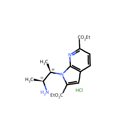 CCOC(=O)c1ccc2cc(C(=O)OCC)n([C@H](C)[C@H](C)N)c2n1.Cl